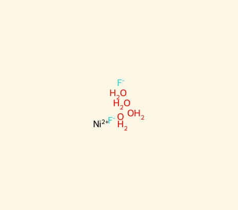 O.O.O.O.[F-].[F-].[Ni+2]